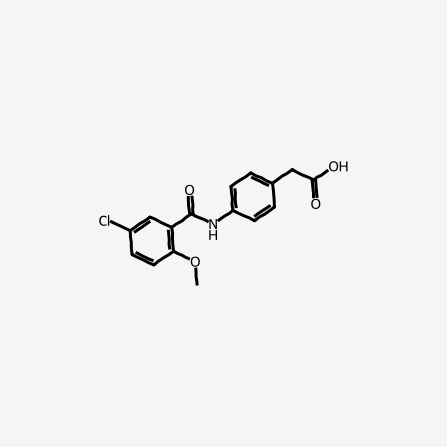 COc1ccc(Cl)cc1C(=O)Nc1ccc(CC(=O)O)cc1